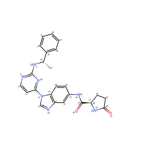 C[C@H](Nc1nccc(-n2cnc3cc(NC(=O)[C@H]4CCC(=O)N4)ccc32)n1)c1ccccc1